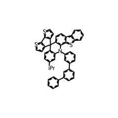 CC(C)c1ccc2c(c1)N(c1cccc(-c3cccc(-c4ccccc4)c3)c1)c1c(ccc3c1sc1ccccc13)C21c2ccsc2-c2sccc21